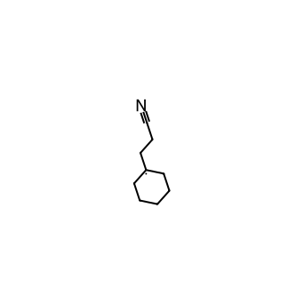 N#CCC[C]1CCCCC1